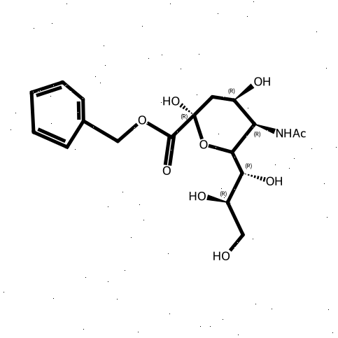 CC(=O)N[C@H]1C([C@H](O)[C@H](O)CO)O[C@@](O)(C(=O)OCc2ccccc2)C[C@H]1O